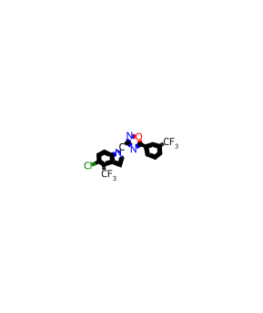 FC(F)(F)c1cccc(-c2nc(Cn3ccc4c(C(F)(F)F)c(Cl)ccc43)no2)c1